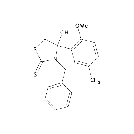 COc1ccc(C)cc1C1(O)CSC(=S)N1Cc1ccccc1